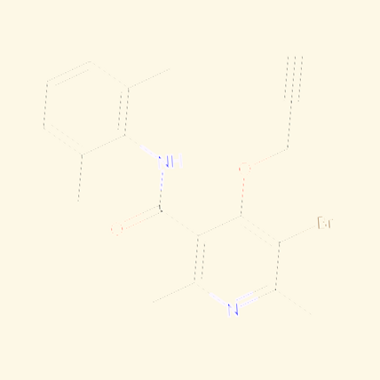 C#CCOc1c(Br)c(C)nc(C)c1C(=O)Nc1c(C)cccc1C